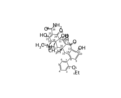 CCOc1ccccc1-c1ccc(O)c2c1C[C@@H]1C[C@@H]3[C@@H](N(C)C)C(O)=C(C(N)=O)C(=O)[C@]3(O)C(O)=C1C2=O